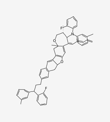 C=C/C=C(C)/C=C1/C2=CC3=C(CC2(C)OC[C@H](C)C1N(c1cccc(C)c1)c1ccccc1F)C1=Cc2ccc(CCC(c4cccc(C)c4)c4ccccc4F)cc2CC1O3